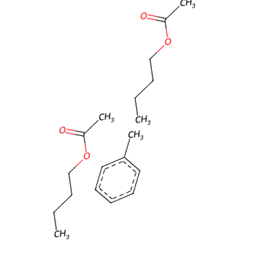 CCCCOC(C)=O.CCCCOC(C)=O.Cc1ccccc1